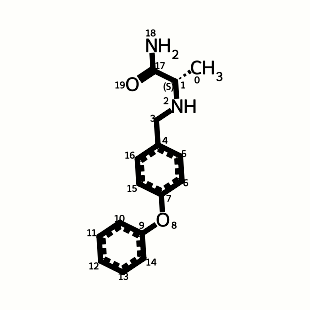 C[C@H](NCc1ccc(Oc2ccccc2)cc1)C(N)=O